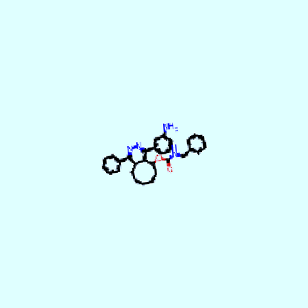 Nc1cccc(C2=NN=C(c3ccccc3)C3CCCCCC(OC(=O)NCc4ccccc4)C23)c1